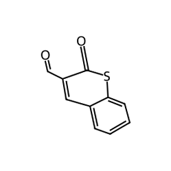 O=Cc1cc2ccccc2sc1=O